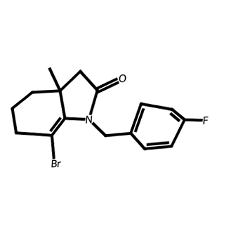 CC12CCCC(Br)=C1N(Cc1ccc(F)cc1)C(=O)C2